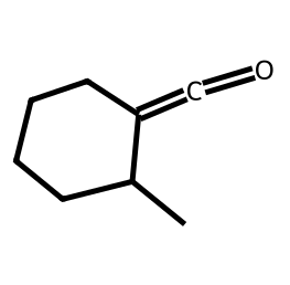 CC1CCCCC1=C=O